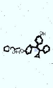 Oc1ccc(/C(=C(\c2ccccc2)C2CC2)c2ccc(OCC(O)CN3CCCC3)cc2)cc1